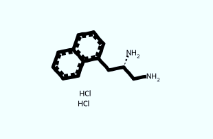 Cl.Cl.NC[C@@H](N)Cc1cccc2ccccc12